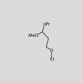 [CH2]CCC(CCOCC)OC